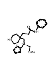 COC[C@H](CC1(CCC(=O)Nc2ccccc2)CCNCC1)c1cccs1